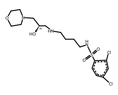 O=S(=O)(NCCCCNC[C@@H](O)CN1CCOCC1)c1ccc(Cl)cc1Cl